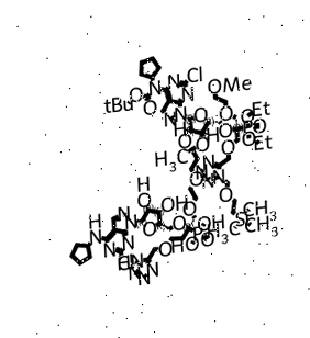 CCOP(=O)(OCC)[C@@](COCCOC)(COCc1nnnn1COCC[Si](C)(C)C)OC[C@H]1O[C@@H](n2ncc3c(N(C(=O)OC(C)(C)C)C4CCCC4)nc(Cl)nc32)[C@@H]2OC(C)(CCOCCOC[C@](CCOCc3nnn[nH]3)(OC[C@H]3O[C@@H](n4ncc5c(NC6CCCC6)nc(Cl)nc54)[C@H](O)[C@@H]3O)P(=O)(O)O)O[C@@H]21